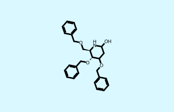 OC1CC(OCc2ccccc2)[C@H](OCc2ccccc2)[C@@H](COCc2ccccc2)N1